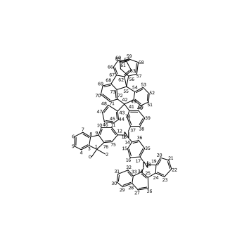 CC1(C)c2ccccc2-c2ccc(N(c3ccc(-n4c5ccccc5c5ccc6ccccc6c54)cc3)c3cccc(C4(c5ccccc5)c5ccccc5C5(C6C=CC=CC6)c6ccccc6-c6cccc4c65)c3)cc21